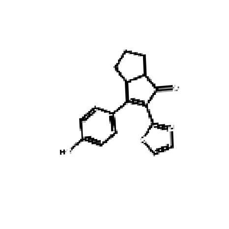 O=C1C(c2nccs2)=C(c2ccc(O)cc2)C2CCCC12